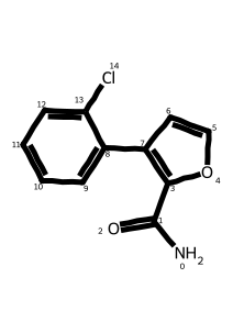 NC(=O)c1occc1-c1ccccc1Cl